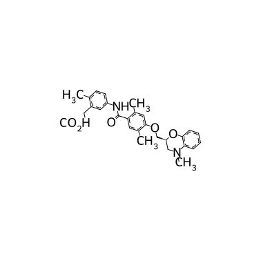 Cc1ccc(NC(=O)c2cc(C)c(OC[C@@H]3CN(C)c4ccccc4O3)cc2C)cc1CC(=O)O